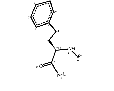 CC(C)N[C@H](CCc1ccccc1)C(N)=O